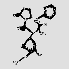 COc1ccc([C@@H](C(=O)N2C(=O)OC[C@@H]2Cc2ccccc2)C(C)(C)O)cc1Br